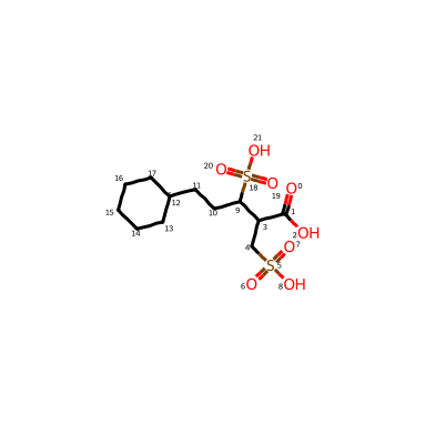 O=C(O)C(CS(=O)(=O)O)C(CC[C]1CCCCC1)S(=O)(=O)O